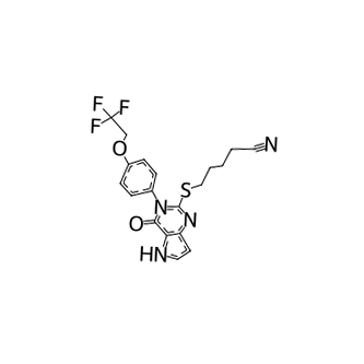 N#CCCCCSc1nc2cc[nH]c2c(=O)n1-c1ccc(OCC(F)(F)F)cc1